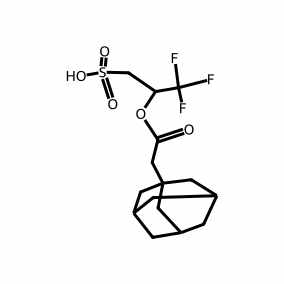 O=C(CC12CC3CC(CC(C3)C1)C2)OC(CS(=O)(=O)O)C(F)(F)F